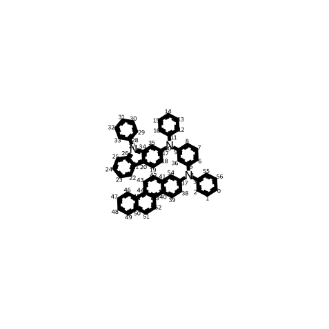 c1ccc(N(c2cccc(N(c3ccccc3)c3ccc4c5ccccc5n(-c5ccccc5)c4c3)c2)c2ccc3c(ccc4c5ccccc5ccc34)c2)cc1